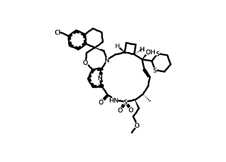 COCC[C@@H]1[C@@H](C)C/C=C/[C@@](O)(C2SCCCS2)[C@@H]2CC[C@H]2CN2C[C@@]3(CCCc4cc(Cl)ccc43)COc3ccc(nc32)C(=O)NS1(=O)=O